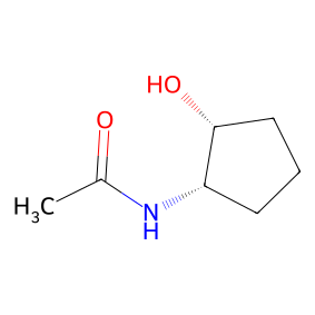 CC(=O)N[C@H]1CCC[C@H]1O